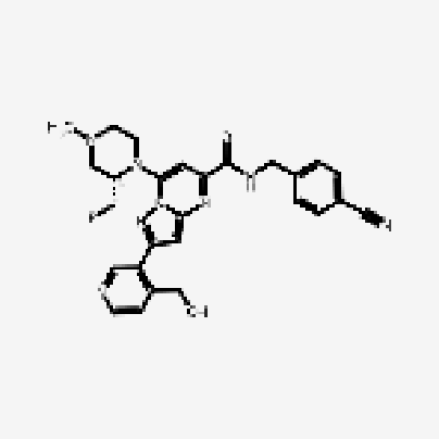 CN1CCN(c2cc(C(=O)NCc3ccc(C#N)cc3)nc3cc(-c4cnccc4CO)nn23)[C@H](CF)C1